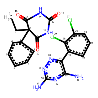 CCC1(c2ccccc2)C(=O)NC(=O)NC1=O.Nc1nnc(-c2cccc(Cl)c2Cl)c(N)n1